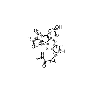 CNC(=O)C1CC1[C@@H]1C[C@H](SC2=C(OC(=O)O)N3C(=O)[C@H]([C@@H](C)O)[C@H]3[C@H]2C)CN1